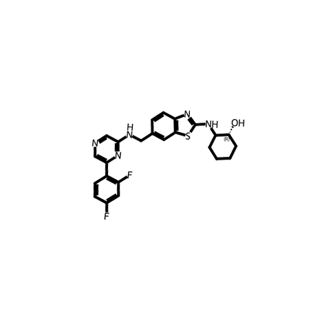 O[C@@H]1CCCCC1Nc1nc2ccc(CNc3cncc(-c4ccc(F)cc4F)n3)cc2s1